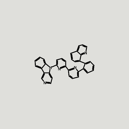 c1cc(-c2cccc(-n3c4ccccc4c4cnccc43)n2)nc(-c2ccccc2-c2cccc3cccnc23)c1